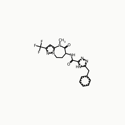 CN1C(=O)C(NC(=O)c2nnc(Cc3ccccc3)[nH]2)CCn2nc(C(F)(F)F)cc21